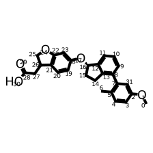 COc1ccc(C)c(-c2cccc3c2CC[C@H]3Oc2ccc3c(c2)OCC3CC(=O)O)c1